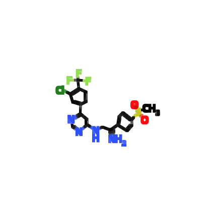 CS(=O)(=O)c1ccc([C@@H](N)CNc2cc(-c3ccc(C(F)(F)F)c(Cl)c3)ncn2)cc1